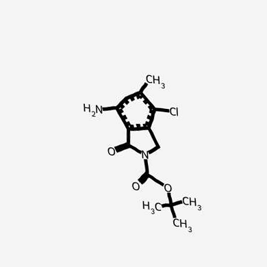 Cc1cc(N)c2c(c1Cl)CN(C(=O)OC(C)(C)C)C2=O